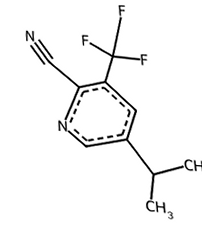 CC(C)c1cnc(C#N)c(C(F)(F)F)c1